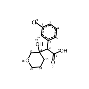 O=C(O)C(c1cccc(Cl)c1)C1(O)CCCOC1